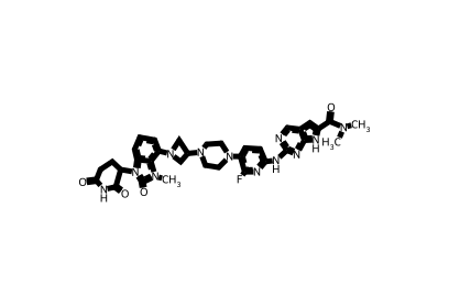 CN(C)C(=O)c1cc2cnc(Nc3ccc(N4CCN(C5CN(c6cccc7c6n(C)c(=O)n7C6CCC(=O)NC6=O)C5)CC4)c(F)n3)nc2[nH]1